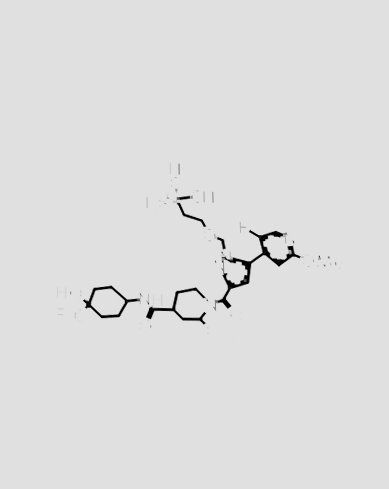 COc1cc(-c2cc(C(=O)N3CCC(C(=O)NC4CCC(O)(C(F)(F)F)CC4)CC3C(F)(F)F)nn2COCC[Si](C)(C)C)c(F)cn1